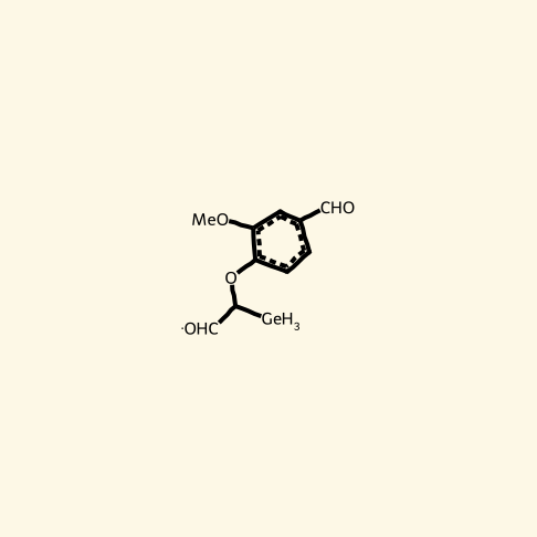 COc1cc(C=O)ccc1O[CH]([GeH3])[C]=O